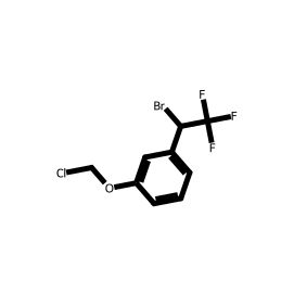 FC(F)(F)C(Br)c1cccc(OCCl)c1